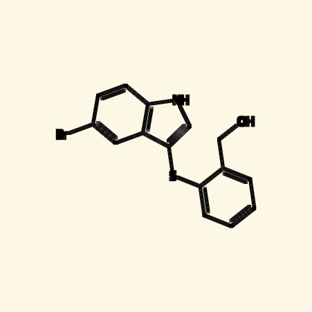 OCc1ccccc1Sc1c[nH]c2ccc(Br)cc12